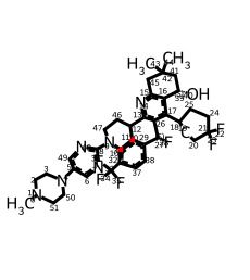 CN1CCN(c2cnc(N3CCC(c4nc5c(c(C6CCC(F)(F)CC6)c4[C@@H](F)c4ccc(C(F)(F)F)cc4)[C@@H](O)CC(C)(C)C5)CC3)nc2)CC1